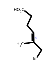 C/C(=C\CCC(=O)O)CBr